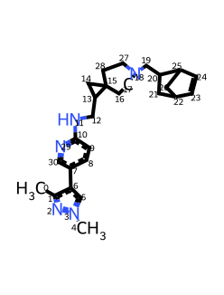 Cc1nn(C)cc1-c1ccc(NCC2CC23CCN(CC2CC4C=CC2C4)CC3)nc1